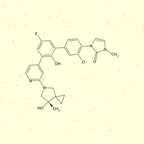 Cn1ccn(-c2ccc(-c3cc(F)cc(-c4ccnc(N5CC6(CC6)[C@](C)(O)C5)c4)c3O)cc2Cl)c1=O